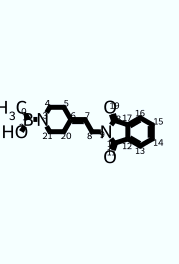 CB(O)N1CCC(=CCN2C(=O)c3ccccc3C2=O)CC1